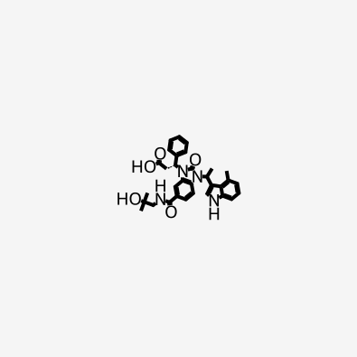 Cc1cccc2[nH]cc(C(C)n3c(=O)n([C@H](CC(=O)O)c4ccccc4)c4cc(C(=O)NCC(C)(C)O)ccc43)c12